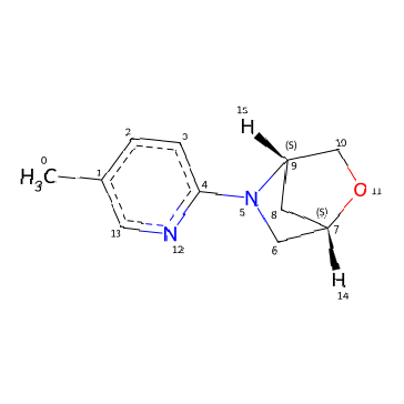 Cc1ccc(N2C[C@@H]3C[C@H]2CO3)nc1